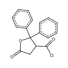 O=C1CC(C(=O)Cl)C(c2ccccc2)(c2ccccc2)O1